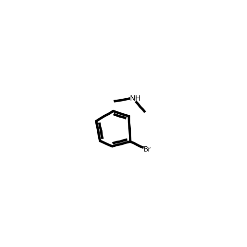 Brc1ccccc1.CNC